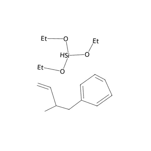 C=CC(C)Cc1ccccc1.CCO[SiH](OCC)OCC